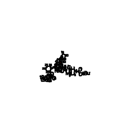 C[C@@H]1CN(C(=O)OC(C)(C)C)CCN1CCOc1cc(N2C3CCC2CN(c2cc(-c4ccccc4OP(=O)(OC(C)(C)C)OC(C)(C)C)nnc2N)C3)ccn1